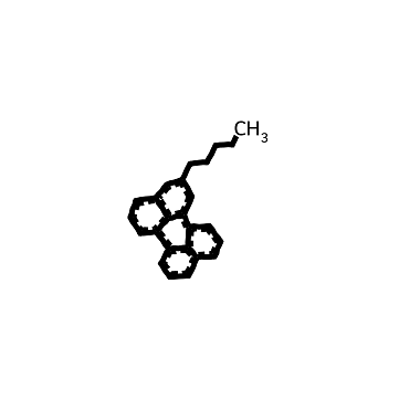 CCCCCc1cc2cccc3c4cccc5cccc(c(c1)c23)c54